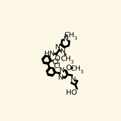 CCn1c(C(=O)Nc2cccc(-c3cccc(-c4ncc(CN5CC(CO)C5)c(OC)n4)c3Cl)c2Cl)nc2c1CCN(C)C2